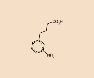 Nc1cccc(CCCC(=O)O)c1